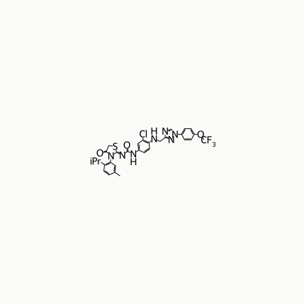 Cc1ccc(C(C)C)c(N2C(=O)CS/C2=N\C(=O)Nc2ccc(NCc3ncn(-c4ccc(OC(F)(F)F)cc4)n3)c(Cl)c2)c1